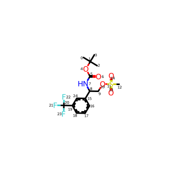 CC(C)(C)OC(=O)NC(COS(C)(=O)=O)c1cccc(C(F)(F)F)c1